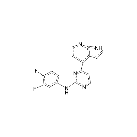 Fc1ccc(Nc2nccc(-c3ccnc4[nH]ccc34)n2)cc1F